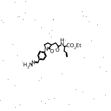 C=CCC(NC(=O)CC1CCN(c2ccc(C=NN)cc2)C1=O)C(=O)OCC